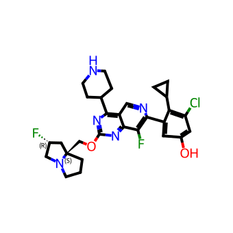 Oc1cc(Cl)c(C2CC2)c(-c2ncc3c(C4CCNCC4)nc(OC[C@@]45CCCN4C[C@H](F)C5)nc3c2F)c1